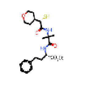 CCOC(=O)[C@H](CCc1ccccc1)NC(=O)C(C)(C)NC(=O)[C@@H](S)C1CCOCC1